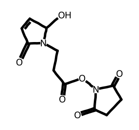 O=C(CCN1C(=O)C=CC1O)ON1C(=O)CCC1=O